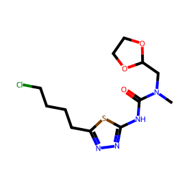 CN(CC1OCCO1)C(=O)Nc1nnc(CCCCCl)s1